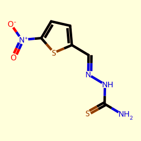 NC(=S)NN=Cc1ccc([N+](=O)[O-])s1